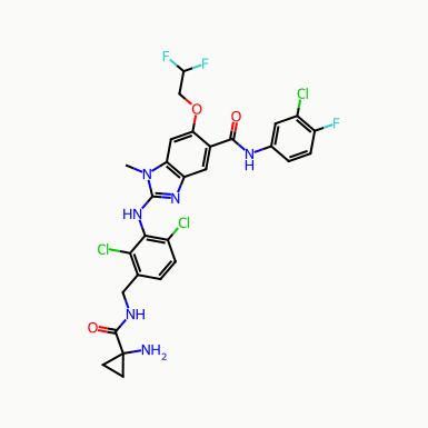 Cn1c(Nc2c(Cl)ccc(CNC(=O)C3(N)CC3)c2Cl)nc2cc(C(=O)Nc3ccc(F)c(Cl)c3)c(OCC(F)F)cc21